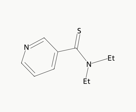 CCN(CC)C(=S)c1cccnc1